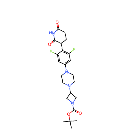 CC(C)(C)OC(=O)N1CC(N2CCN(c3cc(F)c(C4CCC(=O)NC4=O)c(F)c3)CC2)C1